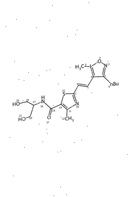 CCCCc1noc(C)c1/C=C/c1nc(C)c(C(=O)NC(CO)CO)s1